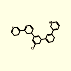 ClC1=CC(C2C=CC=C(C3=CN=CCC3)C2)=CC(C2=CCCC(C3=CC=CNC3)=C2)C1